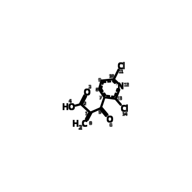 C=C(C(=O)O)C(=O)c1ccc(Cl)nc1Cl